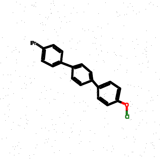 CC(C)c1ccc(-c2ccc(-c3ccc(OCl)cc3)cc2)cc1